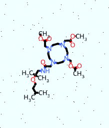 COC(=O)CN1CCN(COC(C)=O)CCN(CC(=O)NCC(C)(C)OCCC(C)C)CCN(CC(=O)OC)CC1